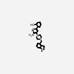 Cn1ncc2c(CN3CCN(c4cc(-c5ccccc5O)nnc4N)CC3)cccc21